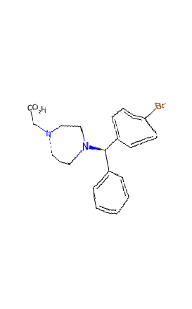 O=C(O)CN1CCN([C@H](c2ccccc2)c2ccc(Br)cc2)CC1